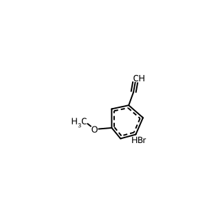 Br.C#Cc1cccc(OC)c1